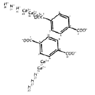 O=C([O-])c1ccc(C(=O)[O-])cc1.O=C([O-])c1ccc(C(=O)[O-])cc1.[Ca+2].[Ca+2].[Ca+2].[Ca+2].[Ca+2].[H-].[H-].[H-].[H-].[H-].[H-]